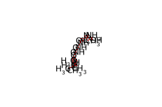 CCc1c(-c2ccc(C(=O)NCCCNC(=O)CCNC(=O)CO[C@H]3CC[C@@]4(C)C(=CC[C@@H]5C4CC[C@]4(C)[C@@H]([C@H](C)CCCC(C)C)CC[C@@H]54)C3)nc2)cnc(N)c1-c1ccc(O)cc1